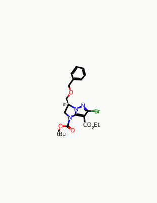 CCOC(=O)c1c(Br)nn2c1N(C(=O)OC(C)(C)C)C[C@H]2COCc1ccccc1